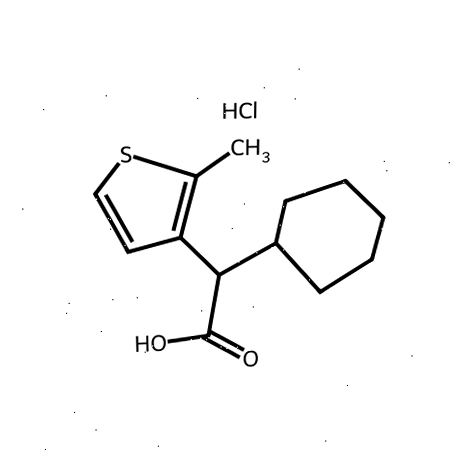 Cc1sccc1C(C(=O)O)C1CCCCC1.Cl